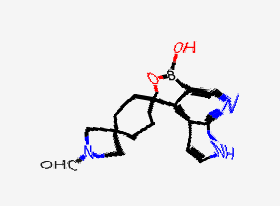 O=CN1CC2(CCC3(CC2)OB(O)c2cnc4[nH]ccc4c23)C1